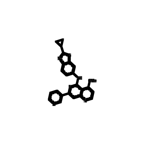 COc1ccnc2cc(-c3cccnc3)nc(Nc3ccc4nc(C5CC5)sc4c3)c12